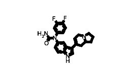 NC(=O)N(c1ccc(F)c(F)c1)c1ccc2[nH]cc(C3=CCN4CCCC4C3)c2c1